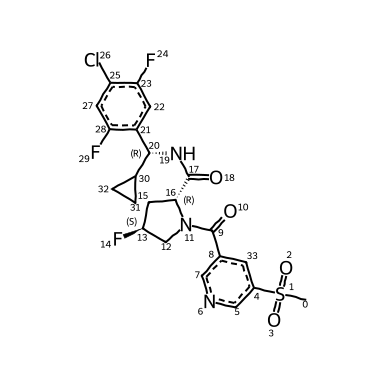 CS(=O)(=O)c1cncc(C(=O)N2C[C@@H](F)C[C@@H]2C(=O)N[C@@H](c2cc(F)c(Cl)cc2F)C2CC2)c1